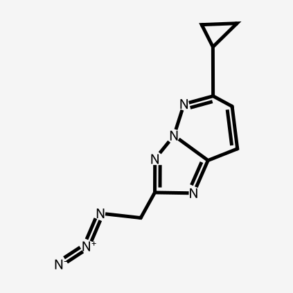 [N-]=[N+]=NCc1nc2ccc(C3CC3)nn2n1